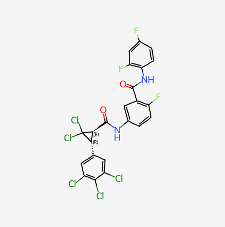 O=C(Nc1ccc(F)cc1F)c1cc(NC(=O)[C@H]2[C@H](c3cc(Cl)c(Cl)c(Cl)c3)C2(Cl)Cl)ccc1F